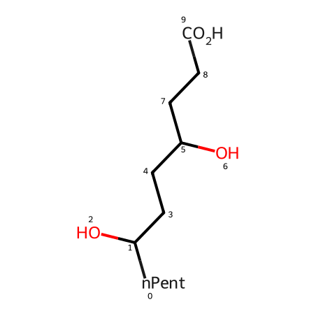 CCCCCC(O)CCC(O)CCC(=O)O